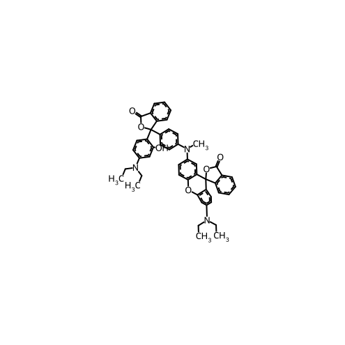 CCN(CC)c1ccc(C2(c3ccc(N(C)c4ccc5c(c4)C4(OC(=O)c6ccccc64)c4ccc(N(CC)CC)cc4O5)cc3)OC(=O)c3ccccc32)c(O)c1